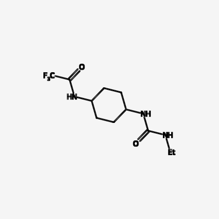 CCNC(=O)NC1CCC(NC(=O)C(F)(F)F)CC1